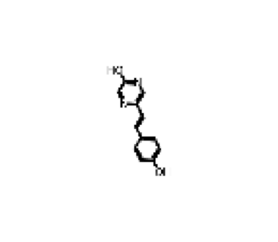 Oc1ccc(C=Cc2cnc(O)cn2)cc1